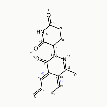 C=C/C=c1/c(=O)n(C2CCC(=O)NC2=O)nc(C)/c1=C/C